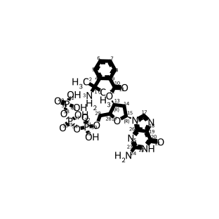 CC(C)(N)c1ccccc1C(=O)O[C@@H]1C[C@H](n2cnc3c(=O)[nH]c(N)nc32)OC1COP(=O)(O)OP(=O)(O)OP(=O)(O)O